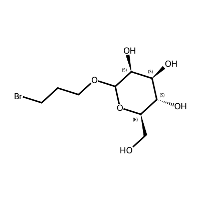 OC[C@H]1OC(OCCCBr)[C@@H](O)[C@@H](O)[C@@H]1O